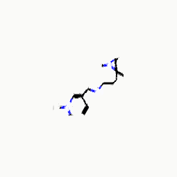 C=C/C(=C\N(C)C(C)C)CNCCC1(C)CN1C